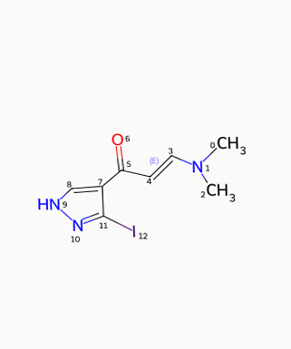 CN(C)/C=C/C(=O)c1c[nH]nc1I